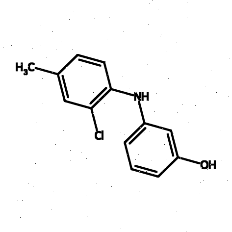 Cc1ccc(Nc2cccc(O)c2)c(Cl)c1